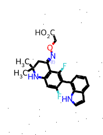 CC1(C)C/C(=N\OCC(=O)O)c2c(cc(F)c(-c3cccc4cc[nH]c34)c2F)N1